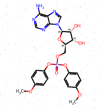 COc1ccc(OP(=O)(OC[C@H]2O[C@@H](n3cnc4c(N)ncnc43)[C@H](O)[C@@H]2O)Oc2ccc(OC)cc2)cc1